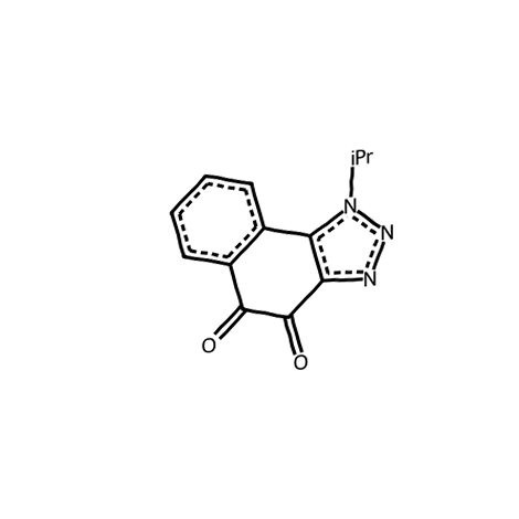 CC(C)n1nnc2c1-c1ccccc1C(=O)C2=O